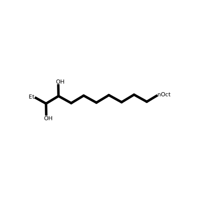 CCCCCCCCCCCCCCCC(O)C(O)CC